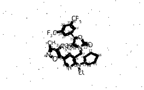 CCOC(=O)c1c(C)noc1-c1cnc(N(CC)C2CCCCC2)c(CN2C(=O)O[C@H](c3cc(C(F)(F)F)cc(C(F)(F)F)c3)[C@@H]2C)c1